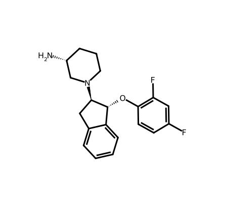 N[C@@H]1CCCN([C@@H]2Cc3ccccc3[C@H]2Oc2ccc(F)cc2F)C1